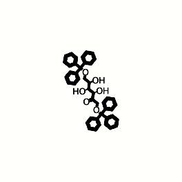 O=C(COC(c1ccccc1)(c1ccccc1)c1ccccc1)[C@@H](O)[C@H](O)[C@H](O)COC(c1ccccc1)(c1ccccc1)c1ccccc1